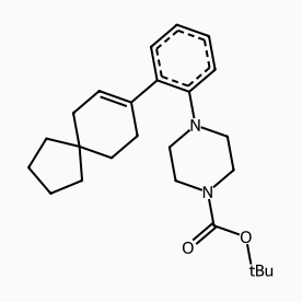 CC(C)(C)OC(=O)N1CCN(c2ccccc2C2=CCC3(CCCC3)CC2)CC1